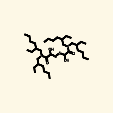 CCCCC(CC)CN(CC(CC)CCCC)C(=O)C(O)SSC(O)C(=O)N(CC(CC)CCCC)CC(CC)CCCC